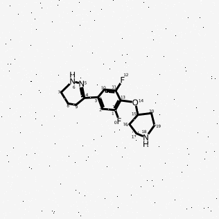 Fc1cc(C2=NNCCC2)cc(F)c1OC1CCNCC1